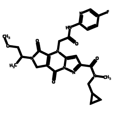 COCC(C)N1Cc2c(n(CC(=O)Nc3ccc(F)cn3)c3cc(C(=O)N(C)CC4CC4)nn3c2=O)C1=O